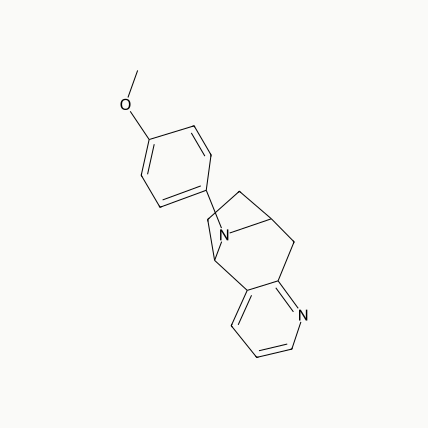 COc1ccc(N2C3CCC2c2cccnc2C3)cc1